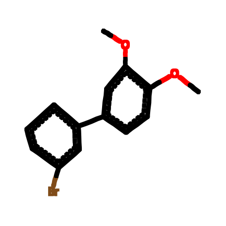 COc1ccc(-c2cccc(Br)c2)cc1OC